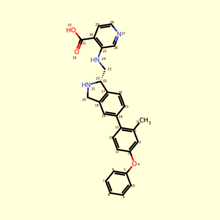 Cc1cc(Oc2ccccc2)ccc1-c1ccc2c(c1)CN[C@@H]2CNc1cnccc1C(=O)O